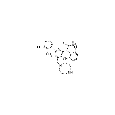 Cc1c(Cl)cccc1-c1cc(CN2CCCNCCC2)cc(C(C(N)=O)c2c(Cl)cccc2Cl)n1